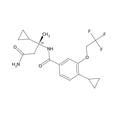 C[C@](CC(N)=O)(NC(=O)c1ccc(C2CC2)c(OCC(F)(F)F)c1)C1CC1